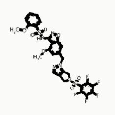 COc1ccccc1S(=O)(=O)Nc1noc2cc(Cn3ncc4c3CN(S(=O)(=O)c3c(F)c(F)c(F)c(F)c3F)C4)cc(OC)c12